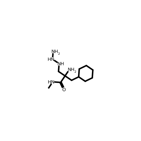 CNC(=O)C(N)(CNNN)CC1CCCCC1